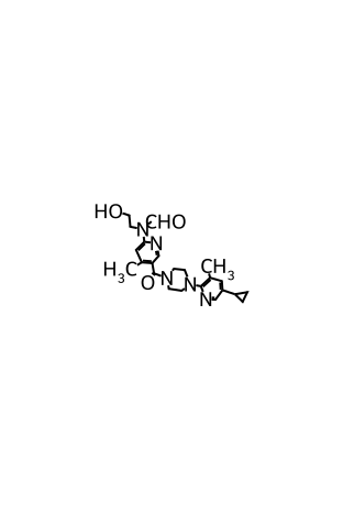 Cc1cc(N(C=O)CCO)ncc1C(=O)N1CCN(c2ncc(C3CC3)cc2C)CC1